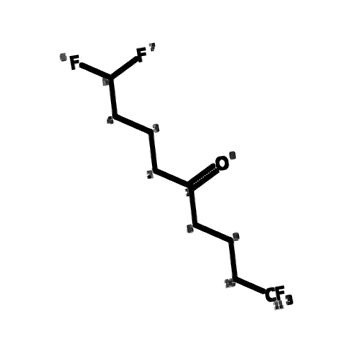 O=C(CCCC(F)F)CCCC(F)(F)F